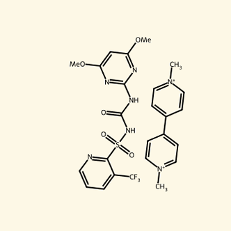 COc1cc(OC)nc(NC(=O)NS(=O)(=O)c2ncccc2C(F)(F)F)n1.C[n+]1ccc(-c2cc[n+](C)cc2)cc1